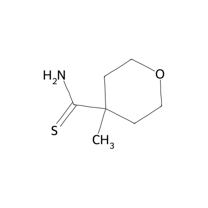 CC1(C(N)=S)CCOCC1